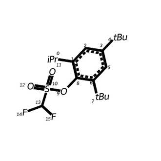 CC(C)c1cc(C(C)(C)C)cc(C(C)(C)C)c1OS(=O)(=O)C(F)F